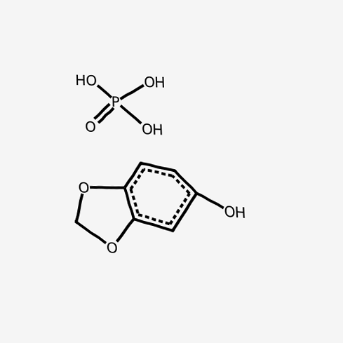 O=P(O)(O)O.Oc1ccc2c(c1)OCO2